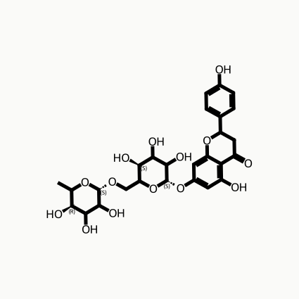 CC1O[C@H](OCC2O[C@@H](Oc3cc(O)c4c(c3)OC(c3ccc(O)cc3)CC4=O)C(O)C(O)[C@@H]2O)C(O)C(O)[C@H]1O